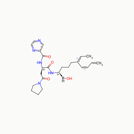 C=C/C=C\C(=C/C)CCC[C@@H](BO)NC(=O)[C@@H](CC(=O)N1CCCC1)NC(=O)c1cnccn1